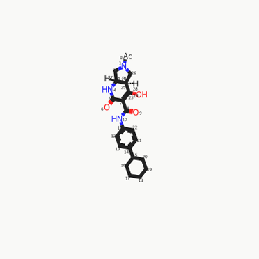 CC(=O)N1C[C@H]2NC(=O)C(C(=O)Nc3ccc(C4CCCCC4)cc3)=C(O)[C@@H]2C1